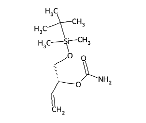 C=C[C@H](CO[Si](C)(C)C(C)(C)C)OC(N)=O